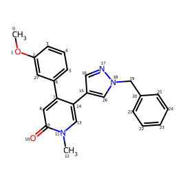 COc1cccc(-c2cc(=O)n(C)cc2-c2cnn(Cc3ccccc3)c2)c1